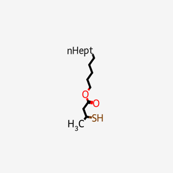 CCCCCCCCCCCCOC(=O)CC(C)S